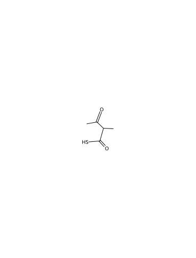 CC(=O)C(C)C(=O)S